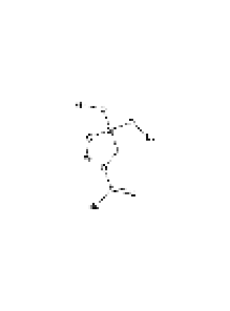 CCO[Si](COC(=O)C(C)CC)(OCC)OCC